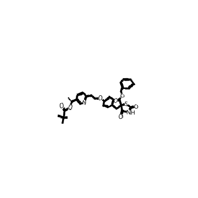 C[C@H](OC(=O)C(C)(C)C)c1ccc(CCOc2ccc(CC3(C(=O)OCc4ccccc4)SC(=O)NC3=O)cc2)nc1